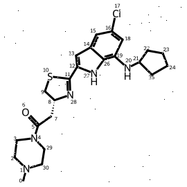 CN1CCN(C(=O)C[C@@H]2CSC(c3cc4cc(Cl)cc(NC5CCCC5)c4[nH]3)=N2)CC1